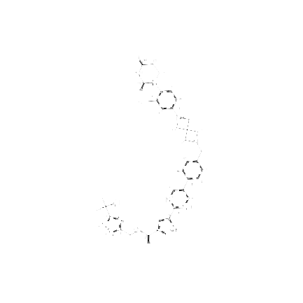 CC(C)(c1n[nH]c(CNC(=O)c2cc(-c3ncc(-c4ccc(CN5CC6(C5)CN(c5ccc(N7CCC(=O)NC7=O)c(F)c5)C6)cc4)cn3)no2)n1)C(F)(F)F